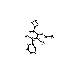 C=N/C=C(/C(=O)C1COC1)N(C)[C@H](C)c1ccccc1